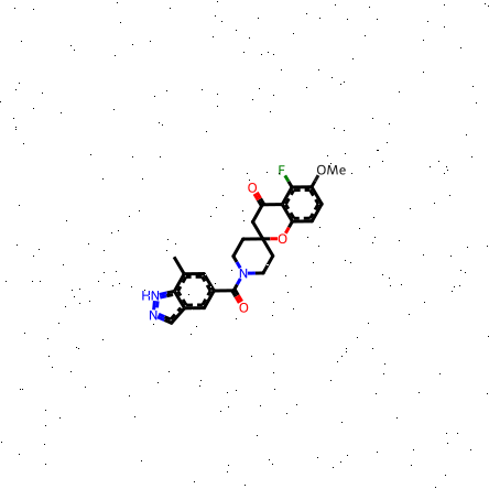 COc1ccc2c(c1F)C(=O)CC1(CCN(C(=O)c3cc(C)c4[nH]ncc4c3)CC1)O2